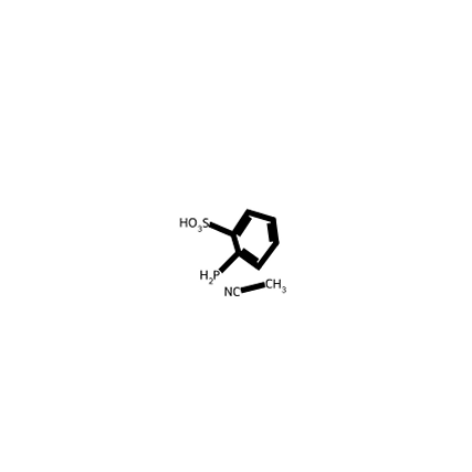 CC#N.O=S(=O)(O)c1ccccc1P